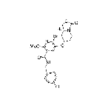 COc1nc(Br)c(O[C@H]2CCN3C(=O)OC[C@@H]3C2)cc1C(=O)NCc1ccc(Cl)cc1